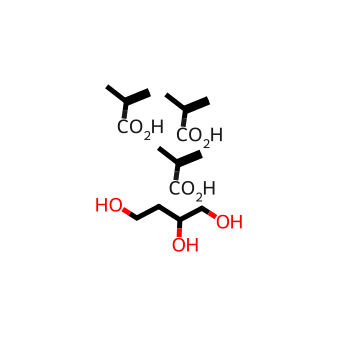 C=C(C)C(=O)O.C=C(C)C(=O)O.C=C(C)C(=O)O.OCCC(O)CO